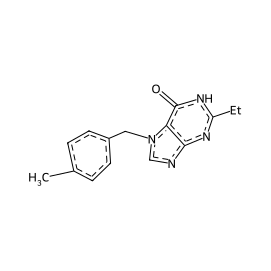 CCc1nc2ncn(Cc3ccc(C)cc3)c2c(=O)[nH]1